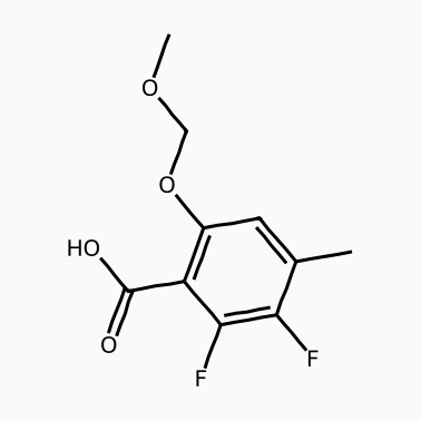 COCOc1cc(C)c(F)c(F)c1C(=O)O